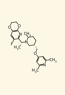 Cc1cc(OC[C@H]2CC[C@H](C)N([C@H](C)c3nc4c(cc3F)OCCO4)C2)cc(C)n1